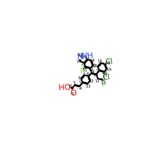 O=C(O)C=Cc1ccc(C(=C(CCF)c2ccc(Cl)cc2Cl)c2ccc3[nH]ncc3c2F)cc1